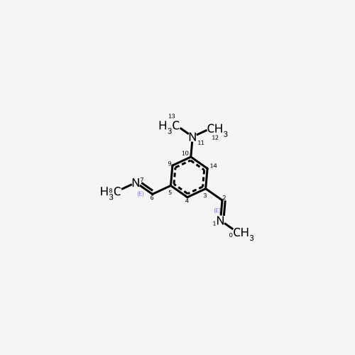 C/N=C/c1cc(/C=N/C)cc(N(C)C)c1